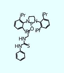 CC(C)c1cccc(C(C)C)c1N1CCN(c2c(C(C)C)cccc2C(C)C)P1OCCNC(=S)Nc1ccccc1